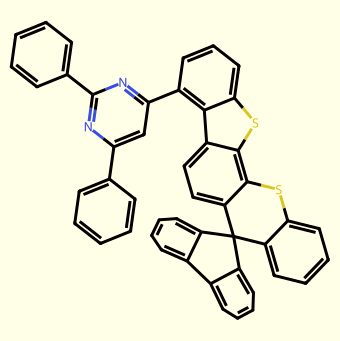 c1ccc(-c2cc(-c3cccc4sc5c6c(ccc5c34)C3(c4ccccc4S6)c4ccccc4-c4ccccc43)nc(-c3ccccc3)n2)cc1